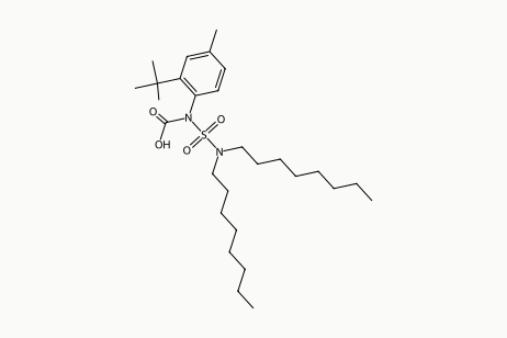 CCCCCCCCN(CCCCCCCC)S(=O)(=O)N(C(=O)O)c1ccc(C)cc1C(C)(C)C